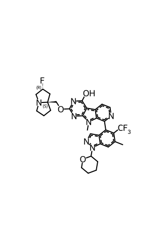 Cc1cc2c(cnn2C2CCCCO2)c(-c2nccc3c4c(O)nc(OC[C@@]56CCCN5C[C@H](F)C6)nc4n(C)c23)c1C(F)(F)F